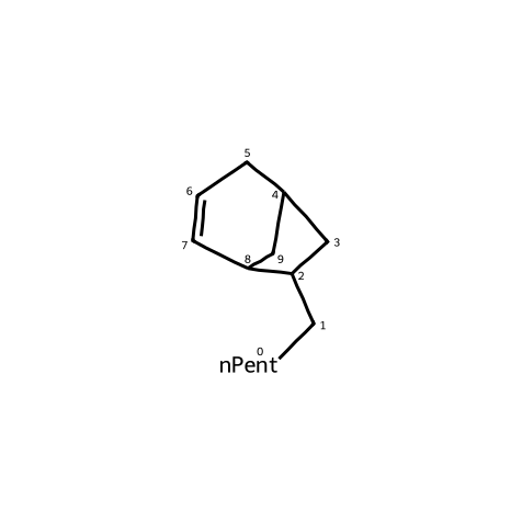 CCCCCCC1CC2CC=CC1C2